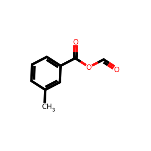 Cc1cccc(C(=O)OC=O)c1